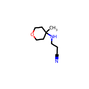 CC1(NCCC#N)CCOCC1